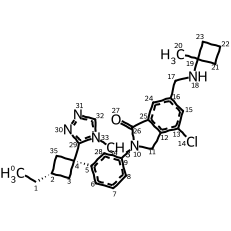 CC[C@H]1C[C@](c2cccc(N3Cc4c(Cl)cc(CNC5(C)CCC5)cc4C3=O)c2)(c2nncn2C)C1